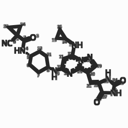 N#CC1(C(=O)N[C@H]2CC[C@H](Nc3cc(NC4CC4)n4ncc(/C=C5\NC(=O)NC5=O)c4n3)CC2)CC1